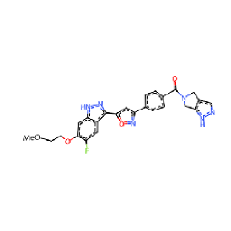 COCCOc1cc2[nH]nc(-c3cc(-c4ccc(C(=O)N5Cc6cn[nH]c6C5)cc4)no3)c2cc1F